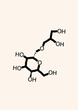 OCC(O)COC[C@@H]1OC(CO)[C@@H](O)C(O)C1O